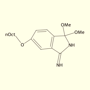 CCCCCCCCOc1ccc2c(c1)C(=N)NC2(OC)OC